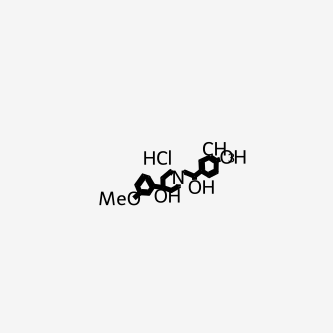 COc1cccc(C2(O)CCN(CC(O)c3ccc(O)c(C)c3)CC2)c1.Cl